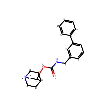 O=C(NCc1cccc(-c2ccccc2)c1)OC1CN2CCC1CC2